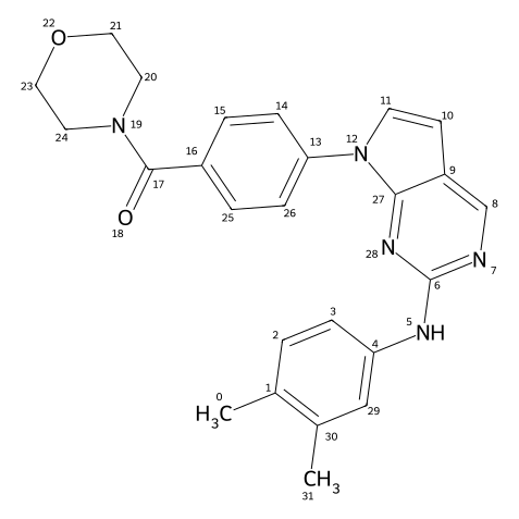 Cc1ccc(Nc2ncc3ccn(-c4ccc(C(=O)N5CCOCC5)cc4)c3n2)cc1C